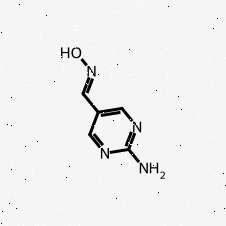 Nc1ncc(C=NO)cn1